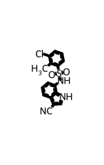 Cc1c(Cl)cccc1S(=O)(=O)Nc1cccc2c(C#N)c[nH]c12